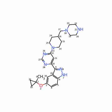 CC1(Oc2ccc3[nH]nc(-c4cc(N5CCC(CN6CCNCC6)CC5)ncn4)c3c2)CC1